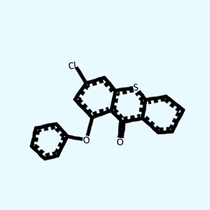 O=c1c2ccccc2sc2cc(Cl)cc(Oc3ccccc3)c12